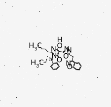 CCCCc1nc(O)c(-c2nnc(Cc3noc4ccccc34)o2)c(=O)n1[C@@H](CCC)c1ccccc1